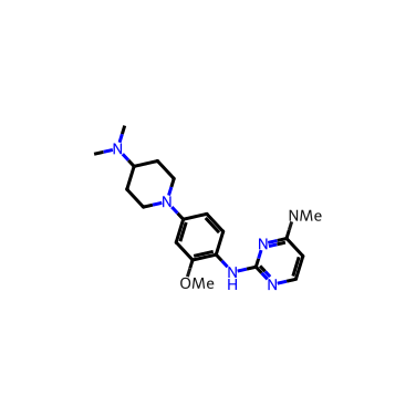 CNc1ccnc(Nc2ccc(N3CCC(N(C)C)CC3)cc2OC)n1